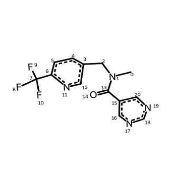 CN(Cc1ccc(C(F)(F)F)nc1)C(=O)c1cncnc1